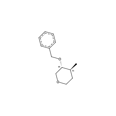 C[C@H]1CCOC[C@@H]1OCc1ccccc1